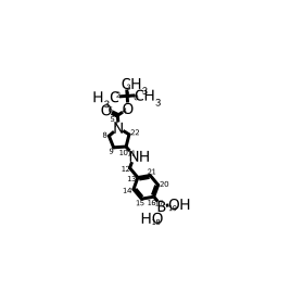 CC(C)(C)OC(=O)N1CCC(NCc2ccc(B(O)O)cc2)C1